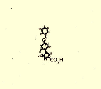 Cc1cc(OCc2ccccc2)ncc1-c1cc(C(=O)O)nn1C